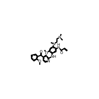 C=CC(=O)Nc1cc(Nc2cc(C(=O)c3ccccc3OC)ccn2)c(OC)cc1N(C)CCN(C)C